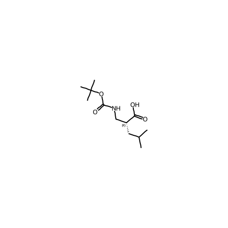 CC(C)C[C@H](CNC(=O)OC(C)(C)C)C(=O)O